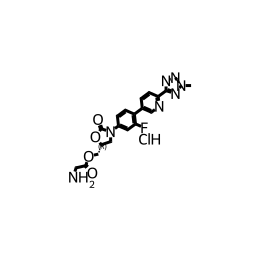 Cl.Cn1nnc(-c2ccc(-c3ccc(N4C[C@H](COC(=O)CN)OC4=O)cc3F)cn2)n1